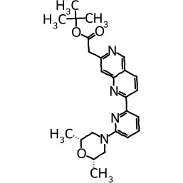 C[C@@H]1CN(c2cccc(-c3ccc4cnc(CC(=O)OC(C)(C)C)cc4n3)n2)C[C@H](C)O1